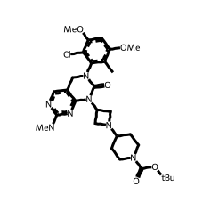 CNc1ncc2c(n1)N(C1CN(C3CCN(C(=O)OC(C)(C)C)CC3)C1)C(=O)N(c1c(C)c(OC)cc(OC)c1Cl)C2